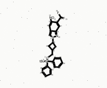 CC(C)(C)[Si](OCC1CC(n2cc3cc([N+](=O)[O-])c(C(F)F)cc3n2)C1)(c1ccccc1)c1ccccc1